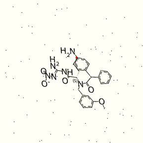 COc1cccc(CN(C(=O)C(c2ccccc2)c2ccccc2)[C@@H](CCCN)C(=O)NC(N)=N[N+](=O)[O-])c1